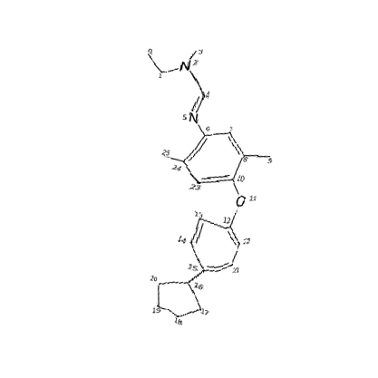 CCN(C)C=Nc1cc(C)c(Oc2ccc(C3CCCC3)cc2)cc1C